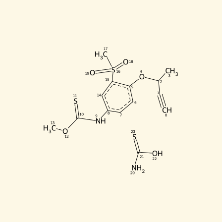 C#CC(C)Oc1ccc(NC(=S)OC)cc1S(C)(=O)=O.NC(O)=S